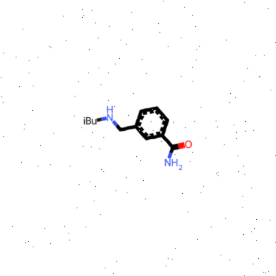 CCC(C)NCc1cccc(C(N)=O)c1